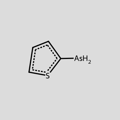 [AsH2]c1cccs1